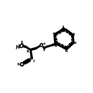 O=PC(O)OCc1ccccc1